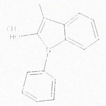 C.Cc1c(O)n(-c2ccccc2)c2ccccc12